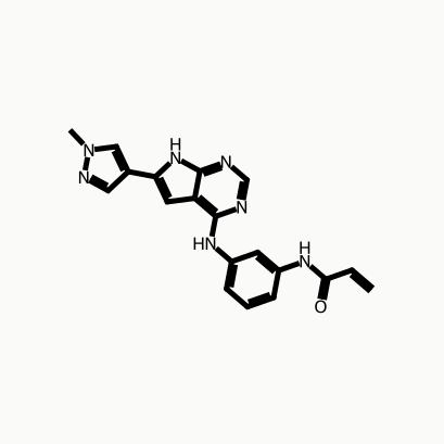 C=CC(=O)Nc1cccc(Nc2ncnc3[nH]c(-c4cnn(C)c4)cc23)c1